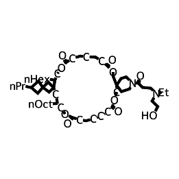 CCCCCCCCC1COC(=O)CCCCCC(=O)OCC2(CCN(C(=O)CCN(CC)CCO)CC2)COC(=O)CCCCCC(=O)OCC(CCCCCC)C2(C1)CC1(CC(CCC)C1)C2